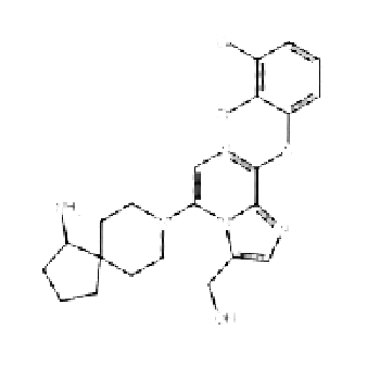 NC1CCCC12CCN(c1cnc(Sc3cccc(Cl)c3Cl)c3ncc(CO)n13)CC2